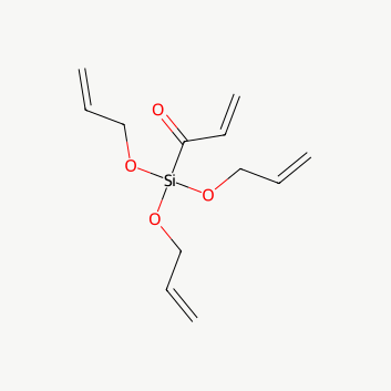 C=CCO[Si](OCC=C)(OCC=C)C(=O)C=C